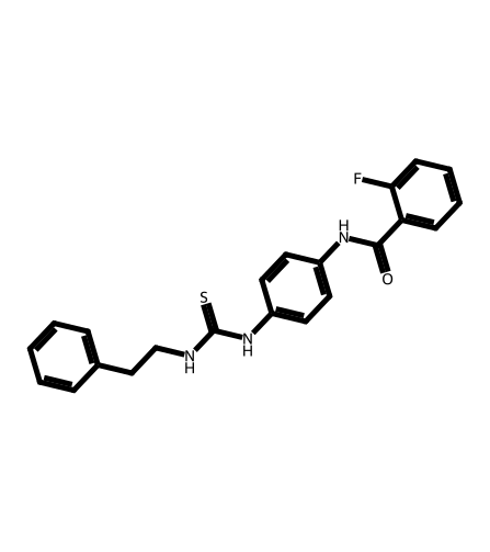 O=C(Nc1ccc(NC(=S)NCCc2ccccc2)cc1)c1ccccc1F